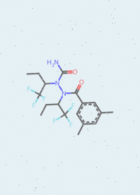 CCC(N(C(N)=O)N(C(=O)c1cc(C)cc(C)c1)C(CC)C(F)(F)F)C(F)(F)F